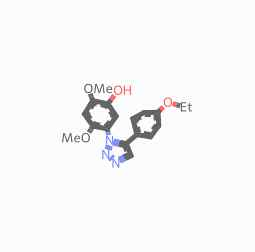 CCOc1ccc(-c2cnnn2-c2cc(O)c(OC)cc2OC)cc1